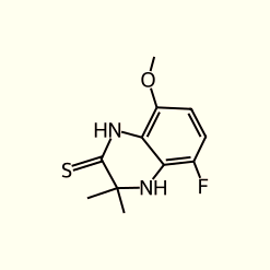 COc1ccc(F)c2c1NC(=S)C(C)(C)N2